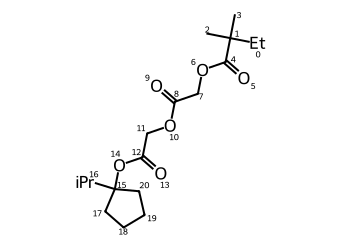 CCC(C)(C)C(=O)OCC(=O)OCC(=O)OC1(C(C)C)CCCC1